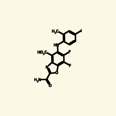 Cc1cc(I)ccc1Nc1c(F)c(F)c2oc(C(N)=O)nc2c1C(=O)O